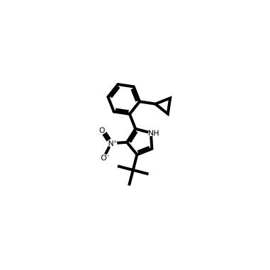 CC(C)(C)c1c[nH]c(-c2ccccc2C2CC2)c1[N+](=O)[O-]